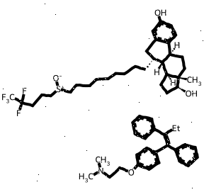 CC/C(=C(\c1ccccc1)c1ccc(OCCN(C)C)cc1)c1ccccc1.C[C@]12CC[C@@H]3c4ccc(O)cc4C[C@@H](CCCCCCCCC[S+]([O-])CCCC(F)(F)C(F)(F)F)[C@H]3[C@@H]1CC[C@@H]2O